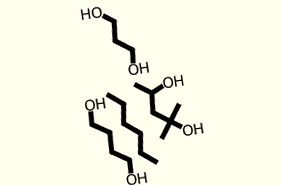 CC(O)CC(C)(C)O.CCCCCC.OCCCCO.OCCCO